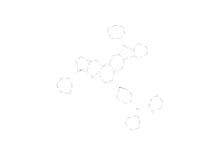 c1ccc(N(c2ccccc2)c2ccc(-c3cc4cc5c(ccn5-c5ccccc5)cc4c4cc5c(cc34)c3ccccc3n5-c3ccccc3)cc2)cc1